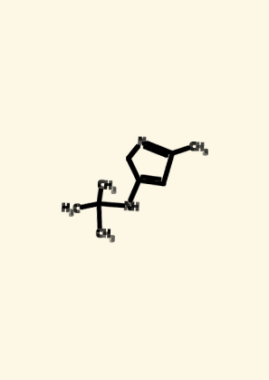 CC1=NCC(NC(C)(C)C)=C1